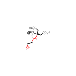 O=C(O)CC(CC(=O)O)(OOCCO)C(=O)O.[NaH]